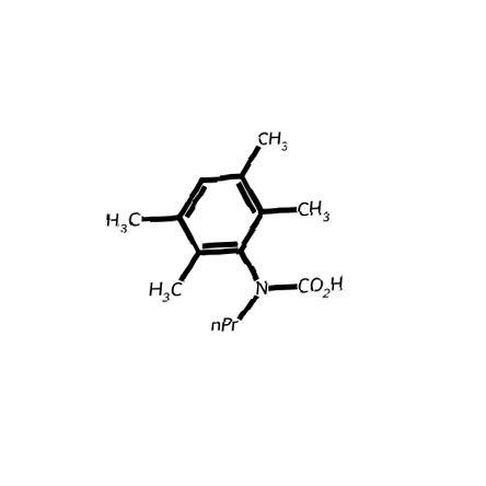 CCCN(C(=O)O)c1c(C)c(C)cc(C)c1C